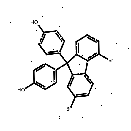 Oc1ccc(C2(c3ccc(O)cc3)c3cc(Br)ccc3-c3c(Br)cccc32)cc1